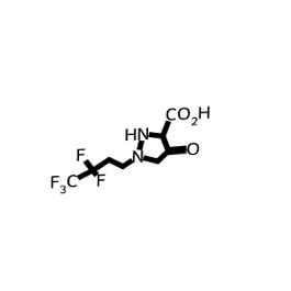 O=C(O)C1NN(CCC(F)(F)C(F)(F)F)CC1=O